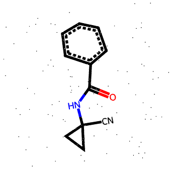 N#CC1(NC(=O)c2ccccc2)CC1